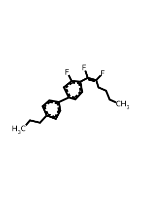 CCCC/C(F)=C(/F)c1ccc(-c2ccc(CCC)cc2)cc1F